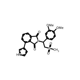 COc1ccc(C(CS(C)(=O)=O)N2C(=O)c3cccc(-c4cc[nH]c4)c3C2=O)cc1OC